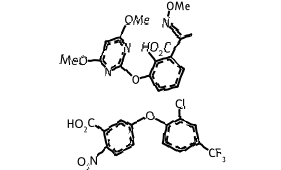 CON=C(C)c1cccc(Oc2nc(OC)cc(OC)n2)c1C(=O)O.O=C(O)c1cc(Oc2ccc(C(F)(F)F)cc2Cl)ccc1[N+](=O)[O-]